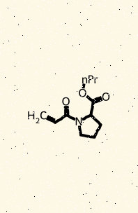 C=CC(=O)N1CCCC1C(=O)OCCC